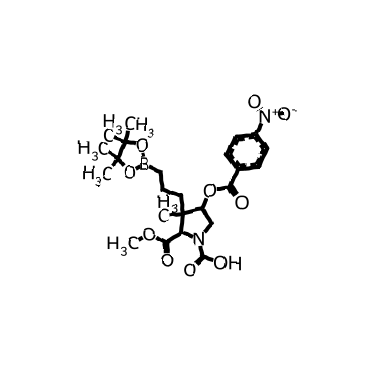 COC(=O)C1N(C(=O)O)CC(OC(=O)c2ccc([N+](=O)[O-])cc2)C1(C)CCCB1OC(C)(C)C(C)(C)O1